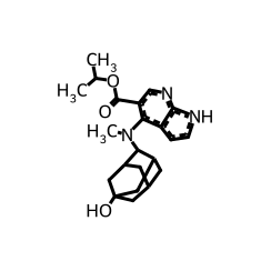 CC(C)OC(=O)c1cnc2[nH]ccc2c1N(C)C1C2CC3CC1CC(O)(C3)C2